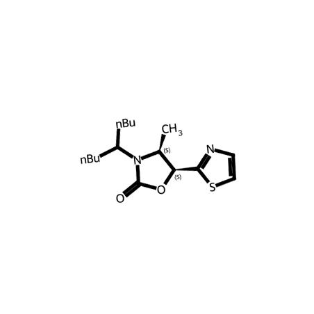 CCCCC(CCCC)N1C(=O)O[C@H](c2nccs2)[C@@H]1C